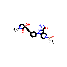 CN1CCC(O)(C#Cc2cccc(-n3nc(C(N)=O)c4c3CCN([S@@+](C)[O-])C4)c2)C1=O